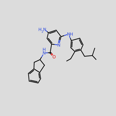 CCc1cc(Nc2cc(N)cc(C(=O)NC3Cc4ccccc4C3)n2)ccc1CC(C)C